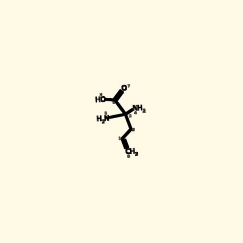 C=CCC(N)(N)C(=O)O